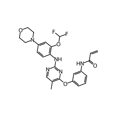 C=CC(=O)Nc1cccc(Oc2nc(Nc3ccc(N4CCOCC4)cc3OC(F)F)ncc2C)c1